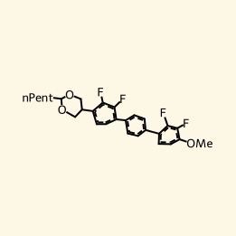 CCCCCC1OCC(c2ccc(-c3ccc(-c4ccc(OC)c(F)c4F)cc3)c(F)c2F)CO1